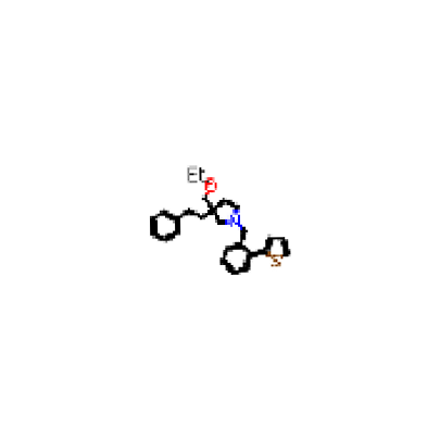 CCOCC1(CCc2ccccc2)CCN(Cc2ccccc2-c2cccs2)C1